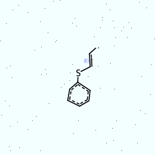 [CH2]/C=C/Sc1ccccc1